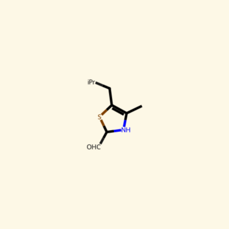 CC1=C(CC(C)C)SC(C=O)N1